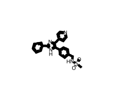 CS(=O)(=O)NCc1ccc(-c2[nH]c(-c3ccccc3)nc2-c2ccncc2)cc1